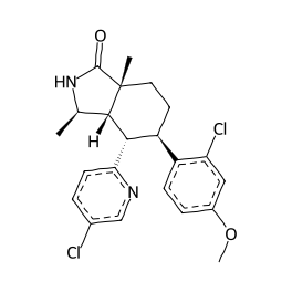 COc1ccc([C@@H]2CC[C@@]3(C)C(=O)N[C@H](C)[C@H]3[C@H]2c2ccc(Cl)cn2)c(Cl)c1